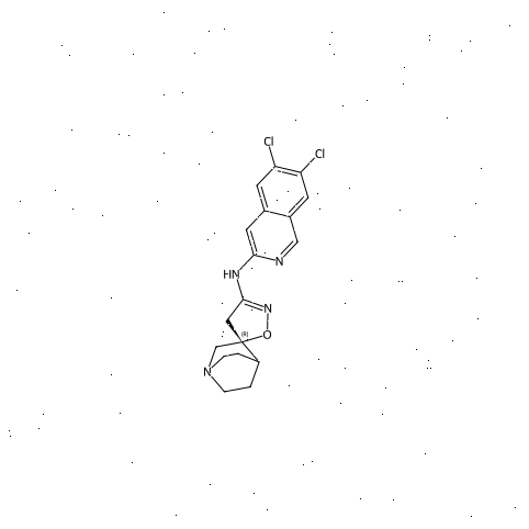 Clc1cc2cnc(NC3=NO[C@@]4(C3)CN3CCC4CC3)cc2cc1Cl